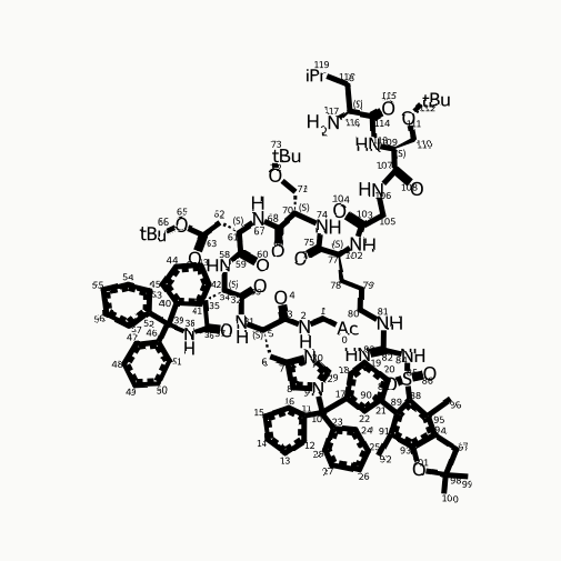 CC(=O)CNC(=O)[C@H](Cc1cn(C(c2ccccc2)(c2ccccc2)c2ccccc2)cn1)NC(=O)[C@H](CC(=O)NC(c1ccccc1)(c1ccccc1)c1ccccc1)NC(=O)[C@H](CC(=O)OC(C)(C)C)NC(=O)[C@H](COC(C)(C)C)NC(=O)[C@H](CCCNC(=N)NS(=O)(=O)c1c(C)c(C)c2c(c1C)CC(C)(C)O2)NC(=O)CNC(=O)[C@H](COC(C)(C)C)NC(=O)[C@@H](N)CC(C)C